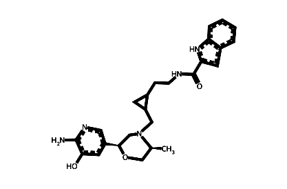 C[C@H]1CO[C@@H](c2cnc(N)c(O)c2)CN1CC1CC1CCNC(=O)c1cc2ccccc2[nH]1